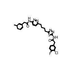 CC1C=C(CC(=O)Nc2ccc(CCCCc3nnc(NC(=O)Cc4ccc(F)c(Cl)c4)s3)nn2)C=CC1